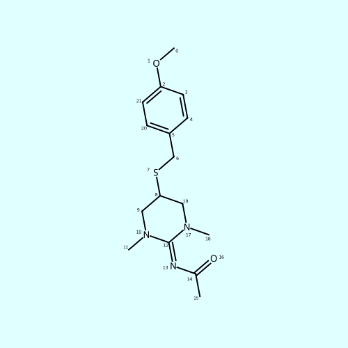 COc1ccc(CSC2CN(C)C(=NC(C)=O)N(C)C2)cc1